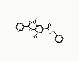 COc1cc(C(=O)OCc2ccccc2)cc(OC)c1OC(=O)c1cccnc1